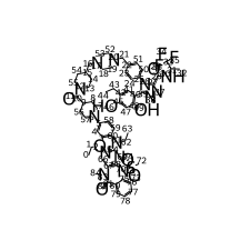 CCOc1cc(N2CCC(C(=O)N3CCC(CN4CCN(Cc5ccc(-n6c(C(=O)NC(C)C(F)(F)F)nnc6-c6cc(CC)c(O)cc6O)cc5)CC4)CC3)CC2)ccc1N(CC)c1ncc2c(n1)N(S(C)(=O)=O)c1ccccc1C(=O)N2C